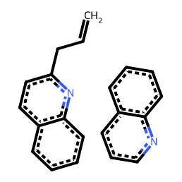 C=CCc1ccc2ccccc2n1.c1ccc2ncccc2c1